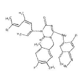 C/C=C1/C=C(Nc2nc(=O)n(C(/C=C(C)\C=C(/C)CC)=C/C)c(=O)n2Cc2cc(C)c(F)cc2C)C(CC)=C/C1=N/C(C)C